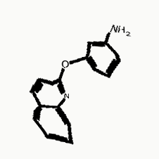 Nc1cccc(Oc2ccc3ccccc3n2)c1